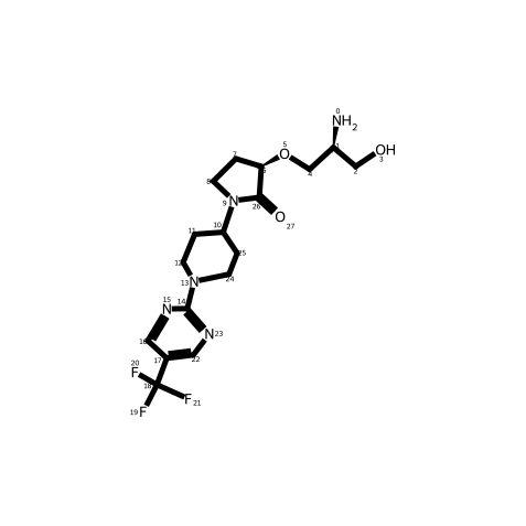 N[C@@H](CO)CO[C@@H]1CCN(C2CCN(c3ncc(C(F)(F)F)cn3)CC2)C1=O